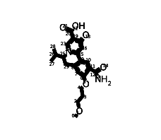 COCCCOc1cc2c(cc1C(N)=O)-c1cc(=O)c(C(=O)O)cn1C(C(C)C)C2